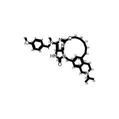 COc1ccc(CN(C)c2nc3nc4c2[nH]c(=O)n4Cc2cc(c4c(c2)CN(C(C)C)CC4)CCCCCO3)cc1